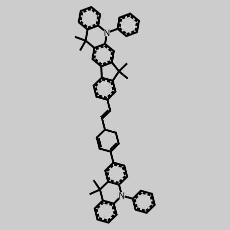 CC1(C)c2cc(/C=C/C3C=CC(c4ccc5c(c4)C(C)(C)c4ccccc4N5c4ccccc4)=CC3)ccc2-c2cc3c(cc21)N(c1ccccc1)c1ccccc1C3(C)C